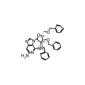 Nc1cc2ncn([C@@H]3O[C@H](COCc4ccccc4)[C@@H](OCc4ccccc4)[C@@H]3OCc3ccccc3)c2c(N)n1